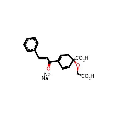 O=C(O)COC1(C(=O)O)C=CC(C(=O)C=Cc2ccccc2)=CC1.[Na].[Na]